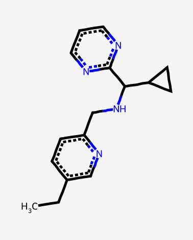 CCc1ccc(CNC(c2ncccn2)C2CC2)nc1